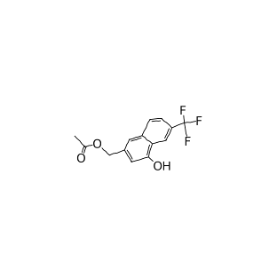 CC(=O)OCc1cc(O)c2cc(C(F)(F)F)ccc2c1